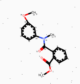 COC(=O)c1ccccc1C(=O)N(C)c1cccc(OC)c1